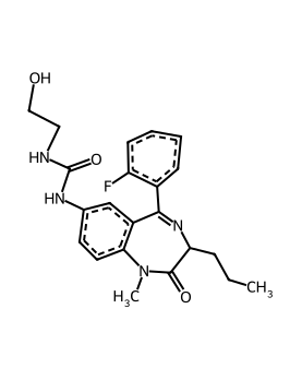 CCCC1N=C(c2ccccc2F)c2cc(NC(=O)NCCO)ccc2N(C)C1=O